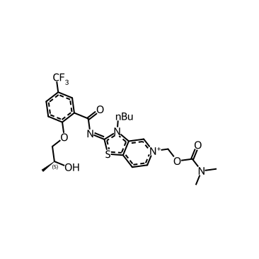 CCCCn1c(=NC(=O)c2cc(C(F)(F)F)ccc2OC[C@H](C)O)sc2cc[n+](COC(=O)N(C)C)cc21